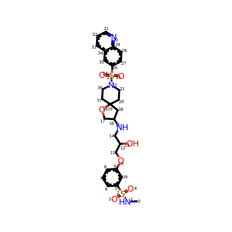 CNS(=O)(=O)c1cccc(OCC(O)CNC2COC3(CCN(S(=O)(=O)c4ccc5ncccc5c4)CC3)C2)c1